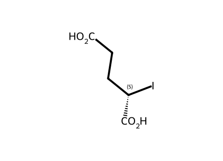 O=C(O)CC[C@H](I)C(=O)O